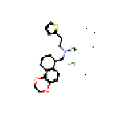 CN(CCc1cccs1)CC1CCCc2c1ccc1c2OCCO1.Cl